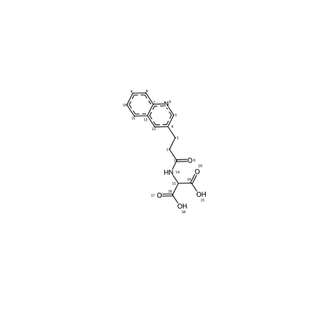 O=C(CCc1cnc2ccccc2c1)NC(C(=O)O)C(=O)O